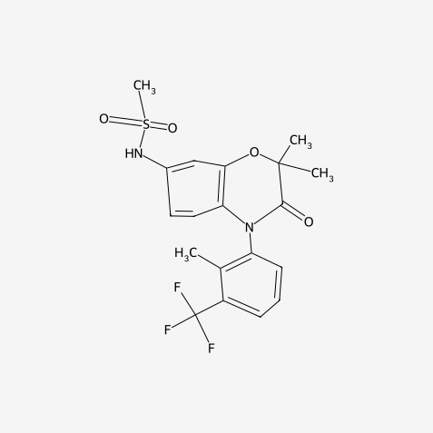 Cc1c(N2C(=O)C(C)(C)Oc3cc(NS(C)(=O)=O)ccc32)cccc1C(F)(F)F